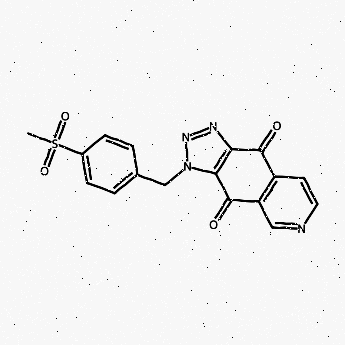 CS(=O)(=O)c1ccc(Cn2nnc3c2C(=O)c2cnccc2C3=O)cc1